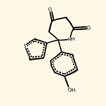 O=C1CC(=O)NC(c2ccc(O)cc2)(c2ccsc2)C1